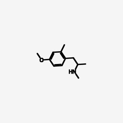 CNC(C)Cc1ccc(OC)cc1C